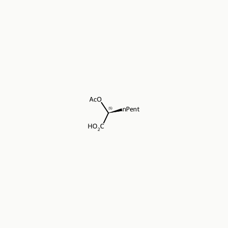 CCCCC[C@H](OC(C)=O)C(=O)O